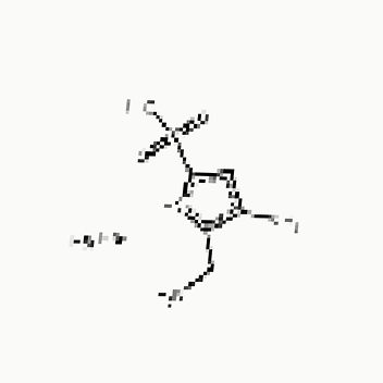 Br.Br.Cc1cc(S(C)(=O)=O)[nH]c1CN